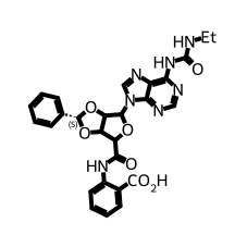 CCNC(=O)Nc1ncnc2c1ncn2C1OC(C(=O)Nc2ccccc2C(=O)O)C2O[C@H](c3ccccc3)OC21